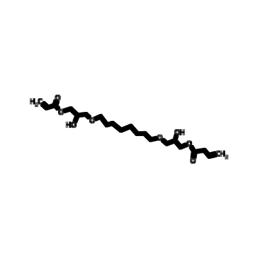 C=CCC(=O)OCC(O)COCCCCCCCCOCC(O)COC(=O)C=C